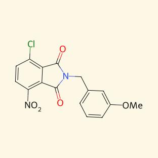 COc1cccc(CN2C(=O)c3c(Cl)ccc([N+](=O)[O-])c3C2=O)c1